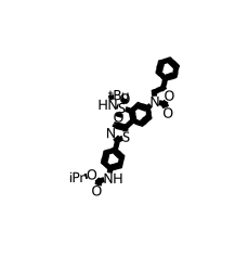 CC(C)OC(=O)Nc1ccc(-c2ncc(-c3ccc(N4CC(c5ccccc5)OC4=O)cc3S(=O)(=O)NC(C)(C)C)s2)cc1